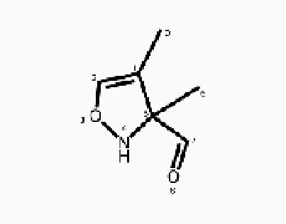 CC1=CONC1(C)C=O